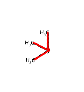 CCCCCCCCCCCCCCCCCCCCCCCCSc1c[c]cc(SCCCCCCCCCCCCCCCCCCCCCCCC)c1SCCCCCCCCCCCCCCCCCCCCCCCC